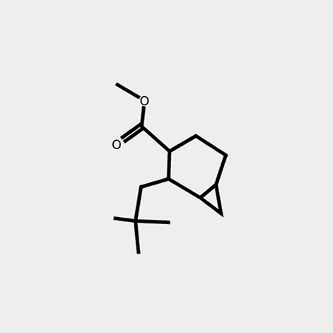 COC(=O)C1CCC2CC2C1CC(C)(C)C